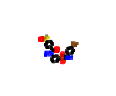 C[S+]([O-])c1ccc(C(=O)Nc2cccc(S(=O)(=O)Nc3ccc(Br)cc3)c2)cc1